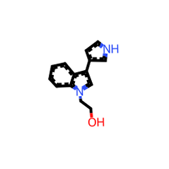 OCCn1cc(-c2cc[nH]c2)c2ccccc21